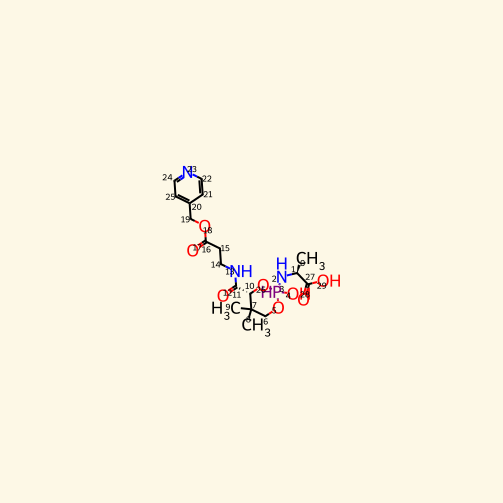 C[C@H](N[PH]1(O)OCC(C)(C)[C@H](C(=O)NCCC(=O)OCc2ccncc2)O1)C(=O)O